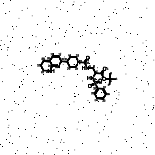 CC(C)(C)OC(=O)C(CNC(=O)N1CCC(C2C=CC3=CCCNC3=N2)CC1)NS(=O)(=O)c1ccccc1